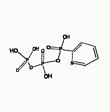 O=P(O)(O)OP(=O)(O)OP(=O)(O)c1ccccn1